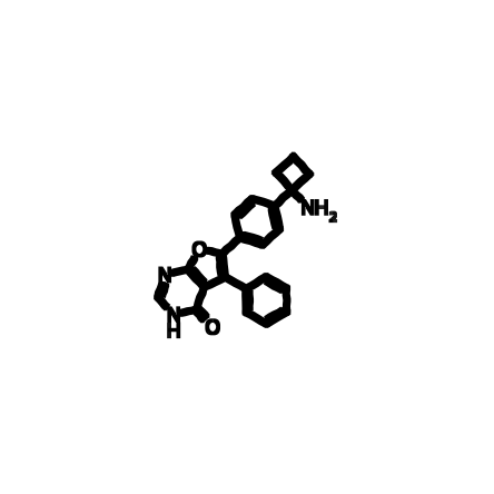 NC1(c2ccc(-c3oc4nc[nH]c(=O)c4c3-c3ccccc3)cc2)CCC1